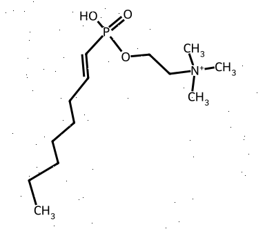 CCCCCCC=CP(=O)(O)OCC[N+](C)(C)C